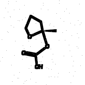 C[C@@]1(OC(=O)O)CCCO1